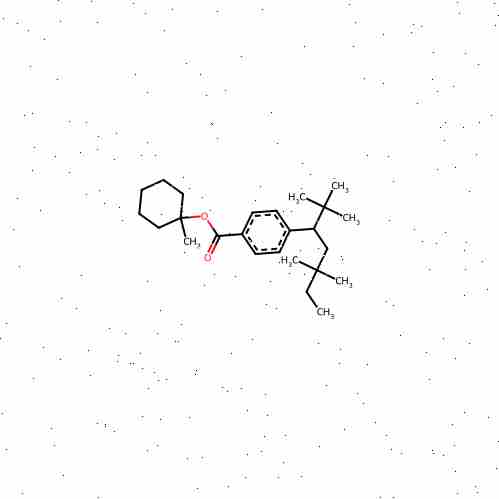 CCC(C)(C)CC(c1ccc(C(=O)OC2(C)CCCCC2)cc1)C(C)(C)C